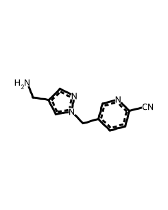 N#Cc1ccc(Cn2cc(CN)cn2)cn1